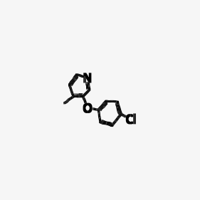 Cc1ccncc1Oc1ccc(Cl)cc1